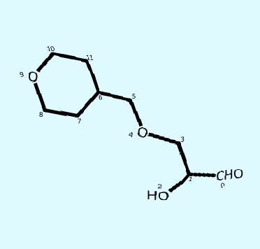 O=CC(O)COCC1CCOCC1